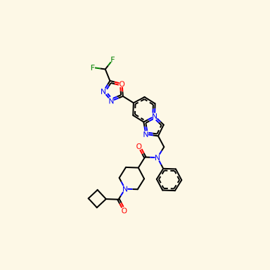 O=C(C1CCC1)N1CCC(C(=O)N(Cc2cn3ccc(-c4nnc(C(F)F)o4)cc3n2)c2ccccc2)CC1